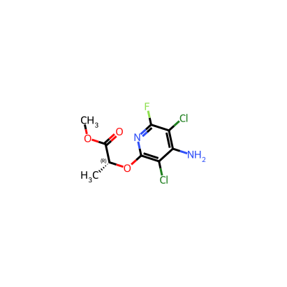 COC(=O)[C@@H](C)Oc1nc(F)c(Cl)c(N)c1Cl